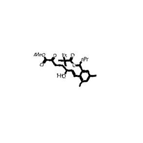 CCCC(OC(=O)C(C)(C)CC)c1cc(C)cc(C)c1C=CC(O)CCC(=O)C(=O)OC